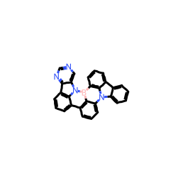 c1cc2c3c(c1)-n1c4ccccc4c4cccc(c41)B3n1c3cncnc3c3cccc-2c31